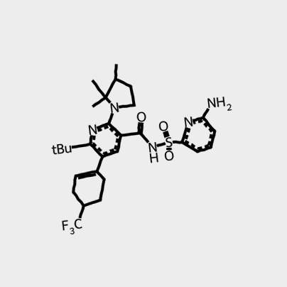 CC1CCN(c2nc(C(C)(C)C)c(C3=CCC(C(F)(F)F)CC3)cc2C(=O)NS(=O)(=O)c2cccc(N)n2)C1(C)C